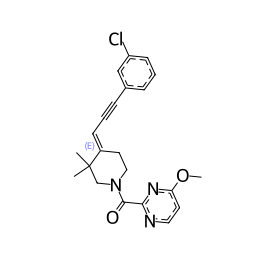 COc1ccnc(C(=O)N2CC/C(=C\C#Cc3cccc(Cl)c3)C(C)(C)C2)n1